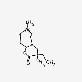 CCC1(C)CC2CN(C)CCC2OC1=O